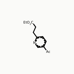 CCOC(=O)CCc1ccc(C(C)=O)cn1